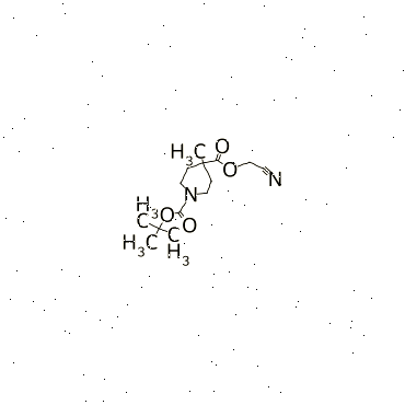 CC(C)(C)OC(=O)N1CCC(C)(C(=O)OCC#N)CC1